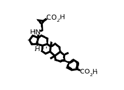 CC1C(c2ccc(C(=O)O)cc2)=CCC2(C)C1CCC1(C)C2CCC2[C@H]3CCCC3(NCC3CC3C(=O)O)CC[C@]21C